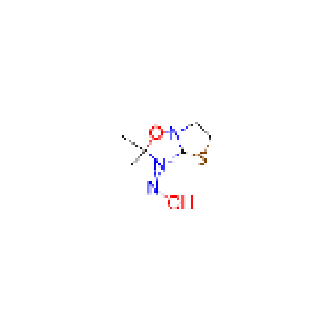 CC1(C)ON2CCSC2[N+]1=NO